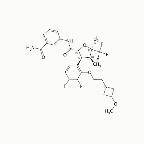 COC1CN(CCOc2c([C@H]3[C@H](C(=O)Nc4ccnc(C(N)=O)c4)O[C@@](C)(C(F)(F)F)[C@H]3C)ccc(F)c2F)C1